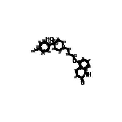 O=C1CCc2c(cccc2OCCCN2CCC(O)(c3ccc(I)cc3)CC2)N1